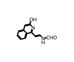 O=CNC=Cc1nc(O)cc2ccccc12